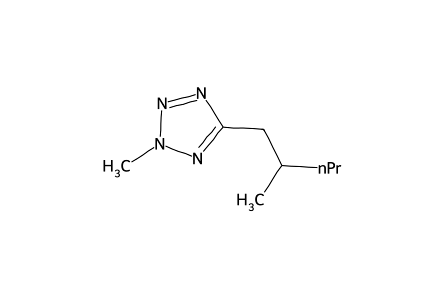 CCCC(C)Cc1nnn(C)n1